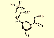 CC(CN)c1cc(O)cc(O)c1.CCO.O=S(=O)(O)O